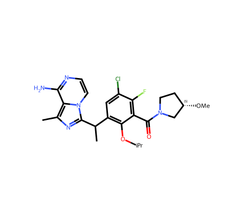 CO[C@H]1CCN(C(=O)c2c(F)c(Cl)cc(C(C)c3nc(C)c4c(N)nccn34)c2OC(C)C)C1